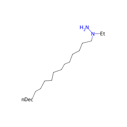 CCCCCCCCCCCCCCCCCCCCCCN(N)CC